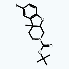 CC(C)(C)OC(=O)N1CCC2(C)c3cc(I)ccc3OC2C1